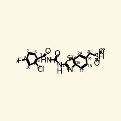 O=C(NC(=O)c1ccc(F)cc1Cl)Nc1nc2ccc(C[SH](=O)=O)cc2s1